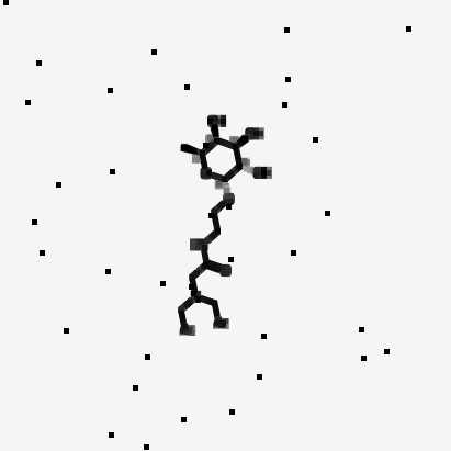 CC(=O)CN(CC(C)=O)CC(=O)NCCO[C@@H]1O[C@@H](C)[C@@H](O)[C@@H](O)[C@@H]1O